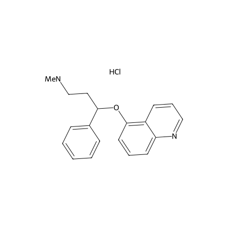 CNCCC(Oc1cccc2ncccc12)c1ccccc1.Cl